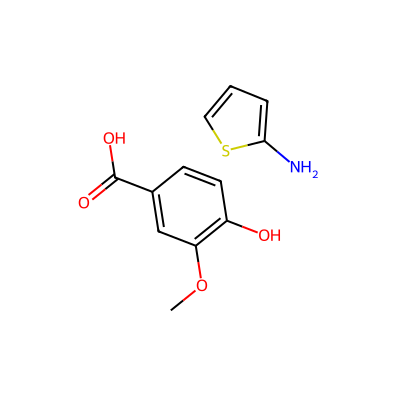 COc1cc(C(=O)O)ccc1O.Nc1cccs1